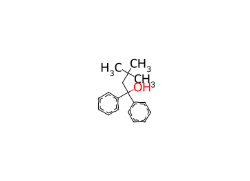 CC(C)(C)CC(O)(c1ccccc1)c1ccccc1